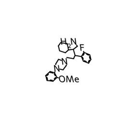 COc1ccccc1N1CCN(CCC(c2ccccc2F)C(CN)C2CCCCC2)CC1